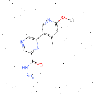 CCOc1cc(C)c(-c2cncc(C(=O)NN)n2)cn1